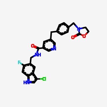 O=C(NCc1cc2c(Cl)c[nH]c2cc1F)c1cncc(Cc2ccc(CN3CCOC3=O)cc2)c1